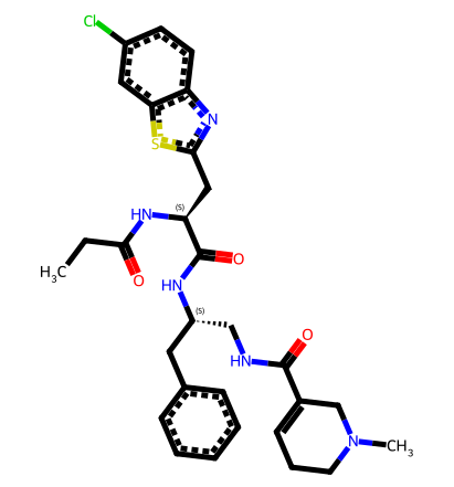 CCC(=O)N[C@@H](Cc1nc2ccc(Cl)cc2s1)C(=O)N[C@H](CNC(=O)C1=CCCN(C)C1)Cc1ccccc1